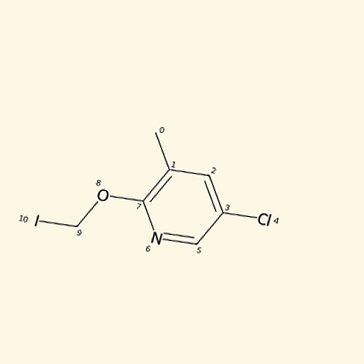 Cc1cc(Cl)cnc1OCI